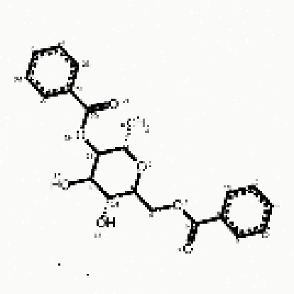 C[C@@H]1OC(COC(=O)c2ccccc2)[C@H](O)C(O)C1OC(=O)c1ccccc1